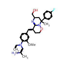 C=CN(/C=C(/C)N)c1ccc(/C=C2\CCON3C2=NC(CO)CC3(C)c2ccc(F)cc2)cc1OC